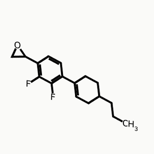 CCCC1CC=C(c2ccc(C3CO3)c(F)c2F)CC1